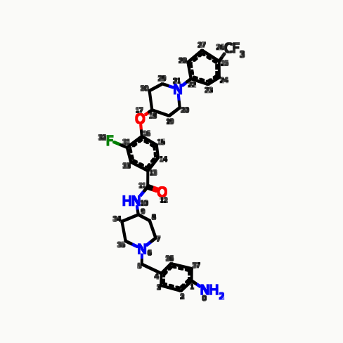 Nc1ccc(CN2CCC(NC(=O)c3ccc(OC4CCN(c5ccc(C(F)(F)F)cc5)CC4)c(F)c3)CC2)cc1